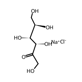 O=C(CO)[C@@H](O)[C@H](O)[C@H](O)CO.[Cl-].[Na+]